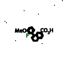 COc1cccc(C2=CCCc3ccc(C(=O)O)cc32)c1F